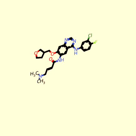 CN(C)CC=CC(=O)Nc1cc2c(Nc3ccc(F)c(Cl)c3)ncnc2cc1OCC1CCOC1